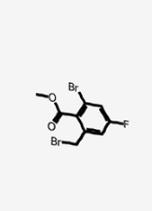 COC(=O)c1c(Br)cc(F)cc1CBr